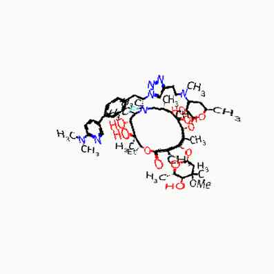 CC[C@H]1OC(=O)[C@H](C)[C@@H](O[C@H]2C[C@@](C)(OC)[C@@H](O)[C@H](C)O2)[C@H](C)[C@@H](O[C@@H]2O[C@H](C)C[C@H](N(C)CCc3cn([C@H](CF)Cc4ccc(-c5ccc(N(C)C)nc5)cc4)nn3)C2O)[C@](C)(O)C[C@@H](C)CN(C)[C@H](C)[C@@H](O)[C@]1(C)O